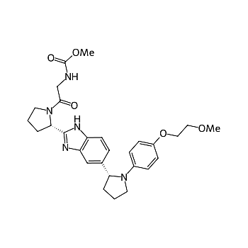 COCCOc1ccc(N2CCC[C@@H]2c2ccc3[nH]c([C@@H]4CCCN4C(=O)CNC(=O)OC)nc3c2)cc1